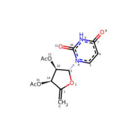 C=C1O[C@@H](n2ccc(=O)[nH]c2=O)[C@H](OC(C)=O)[C@@H]1OC(C)=O